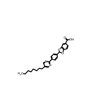 CCCCCCCCc1cnc(-c2ccc(C3Oc4ccc(C(=O)O)cc4O3)cc2)nc1